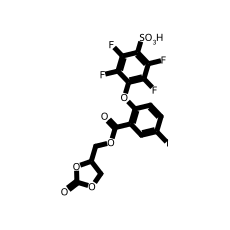 O=C1OCC(COC(=O)c2cc(I)ccc2Oc2c(F)c(F)c(S(=O)(=O)O)c(F)c2F)O1